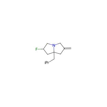 C=C1CN2CC(F)CC2(CC(C)C)C1